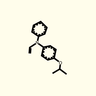 C=CN(c1ccccc1)c1ccc(OC(C)C)cc1